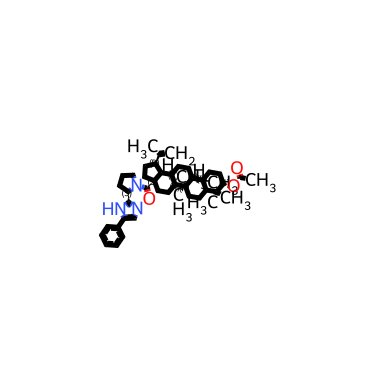 C=C(C)[C@@H]1CC[C@]2(C(=O)N3CCC[C@H]3c3ncc(-c4ccccc4)[nH]3)CC[C@]3(C)[C@H](CC[C@@H]4[C@@]5(C)CC[C@H](OC(C)=O)C(C)(C)C5CC[C@]43C)C12